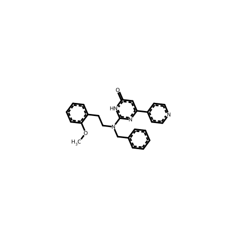 COc1ccccc1CCN(Cc1ccccc1)c1nc(-c2ccncc2)cc(=O)[nH]1